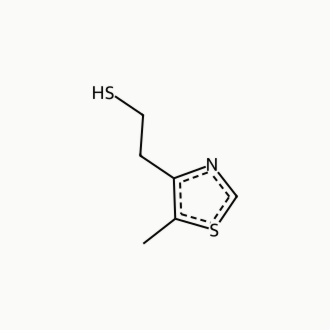 Cc1scnc1CCS